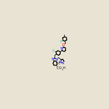 CCn1nccc1Cn1c(Cc2ccc(-c3cccc(OCc4ccc(C)cc4F)n3)cc2F)nc2ccc(C(=O)O)cc21